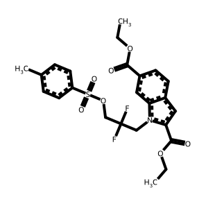 CCOC(=O)c1ccc2cc(C(=O)OCC)n(CC(F)(F)COS(=O)(=O)c3ccc(C)cc3)c2c1